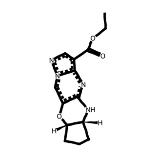 CCOC(=O)c1cnn2cc3c(nc12)N[C@@H]1CCC[C@@H]1O3